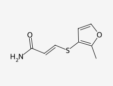 Cc1occc1SC=CC(N)=O